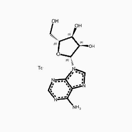 Nc1ncnc2c1ncn2[C@@H]1O[C@H](CO)[C@@H](O)[C@H]1O.[Tc]